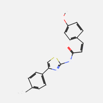 CCCOc1ccc(/C=C\C(=O)Nc2nc(-c3ccc(OC)cc3)cs2)cc1